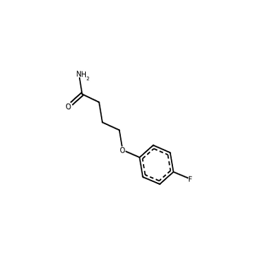 NC(=O)CCCOc1ccc(F)cc1